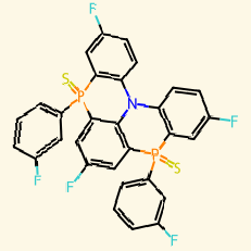 Fc1cccc(P2(=S)c3cc(F)ccc3N3c4ccc(F)cc4P(=S)(c4cccc(F)c4)c4cc(F)cc2c43)c1